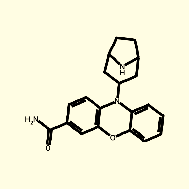 NC(=O)c1ccc2c(c1)Oc1ccccc1N2C1CC2CCC(C1)N2